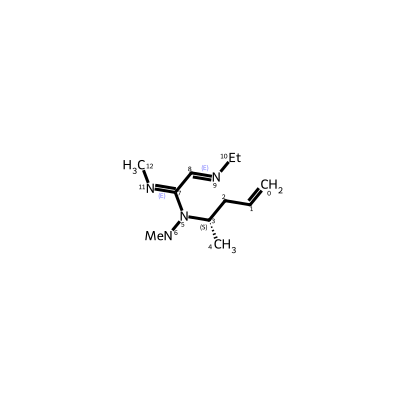 C=CC[C@H](C)N(NC)C(/C=N/CC)=N/C